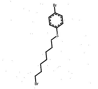 BrCCCCCCCSc1ccc(Br)cc1